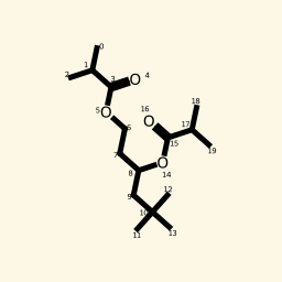 CC(C)C(=O)OCCC(CC(C)(C)C)OC(=O)C(C)C